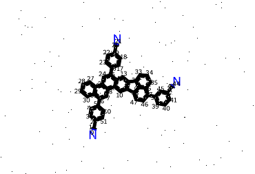 N#Cc1ccc(-c2cc3c4cc5c(cc4c(-c4ccc(C#N)cc4)cc3c3ccccc23)-c2cccc3c(-c4cccc(C#N)c4)ccc-5c23)cc1